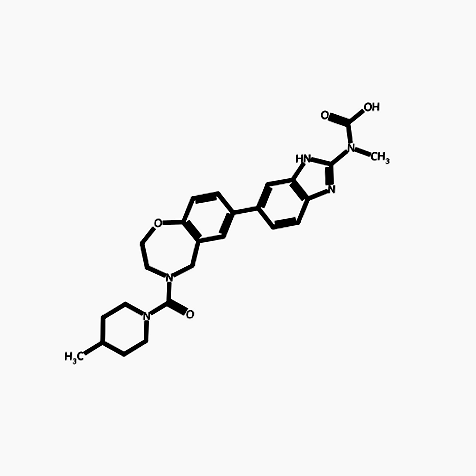 CC1CCN(C(=O)N2CCOc3ccc(-c4ccc5nc(N(C)C(=O)O)[nH]c5c4)cc3C2)CC1